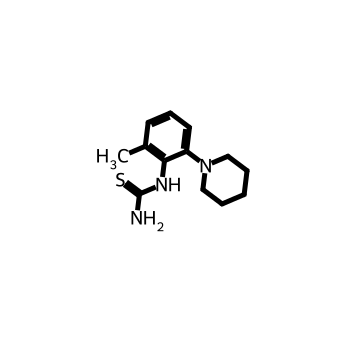 Cc1cccc(N2CCCCC2)c1NC(N)=S